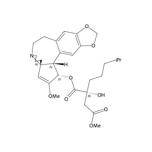 COC(=O)C[C@](O)(CCCC(C)C)C(=O)O[C@@H]1C(OC)=C[C@]23CCCN2CCc2cc4c(cc2[C@H]13)OCO4